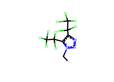 CCn1nnc(C(Cl)(Cl)C(Cl)(Cl)Cl)c1C(Cl)(Cl)C(Cl)(Cl)Cl